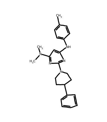 Cc1ccc(Nc2cc(N(C)C)nc(N3CCC(c4ccccc4)CC3)n2)cc1